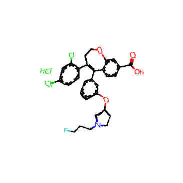 Cl.O=C(O)c1ccc2c(c1)OCCC(c1ccc(Cl)cc1Cl)=C2c1cccc(OC2CCN(CCCF)C2)c1